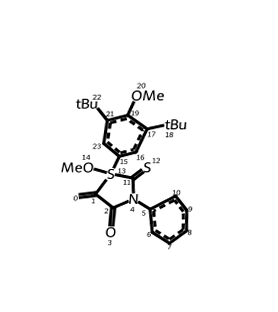 C=C1C(=O)N(c2ccccc2)C(=S)S1(OC)c1cc(C(C)(C)C)c(OC)c(C(C)(C)C)c1